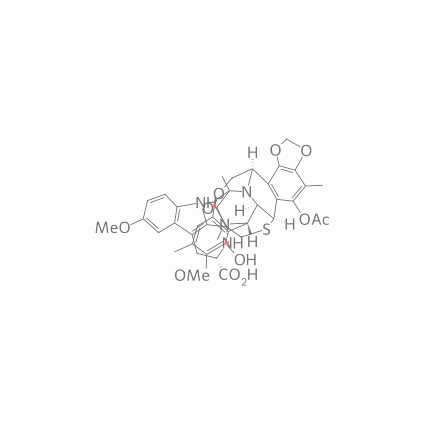 COc1ccc2[nH]c3c(c2c1)C[C@@H](C(=O)O)N[C@]31CS[C@@H]2c3c(OC(C)=O)c(C)c4c(c3[C@H](COC1=O)N1[C@@H]2[C@@H]2c3c(cc(C)c(OC)c3O)CC1(C)CN2C)OCO4